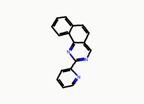 c1ccc(-c2ncc3ccc4ccccc4c3n2)nc1